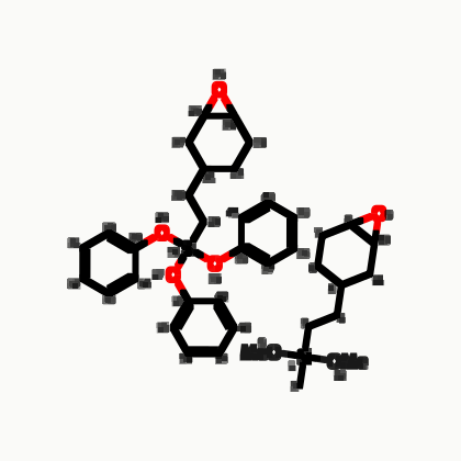 CO[Si](C)(CCC1CCC2OC2C1)OC.c1ccc(O[Si](CCC2CCC3OC3C2)(Oc2ccccc2)Oc2ccccc2)cc1